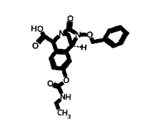 CCNC(=O)Oc1ccc2c(c1)[C@H]1CN(C(=O)N1OCc1ccccc1)C2C(=O)O